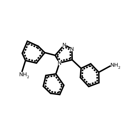 Nc1cccc(-c2nnc(-c3cccc(N)c3)n2-c2ccccc2)c1